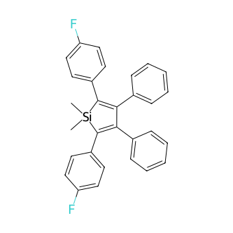 C[Si]1(C)C(c2ccc(F)cc2)=C(c2ccccc2)C(c2ccccc2)=C1c1ccc(F)cc1